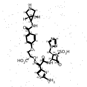 Nc1nc(/C(=N/O[C@@H](COc2ccc(C(=O)N[C@H]3[C@@H]4CNC[C@@H]43)cc2)C(=O)O)C(=O)N[C@@H]2C(=O)N(S(=O)(=O)O)[C@@H]2Cn2cncn2)cs1